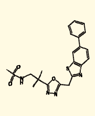 CC(C)(CNS(C)(=O)=O)c1nnc(Cc2nc3ccc(-c4ccccc4)cc3s2)o1